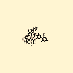 Cc1cc(C)c(-c2cc(C)c(F)c([C@H](CC(=O)O)NC(=O)C(CC(C)C)n3cc(CCN4CCC4)c(C(F)(F)F)cc3=O)c2)c(F)c1